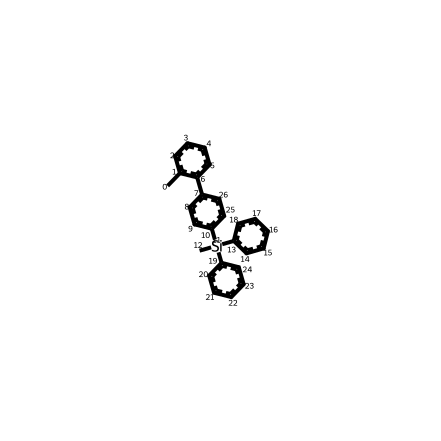 Cc1ccccc1-c1ccc([Si](C)(c2ccccc2)c2ccccc2)cc1